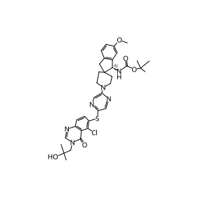 COc1ccc2c(c1)[C@@H](NC(=O)OC(C)(C)C)C1(CCN(c3cnc(Sc4ccc5ncn(CC(C)(C)O)c(=O)c5c4Cl)cn3)CC1)C2